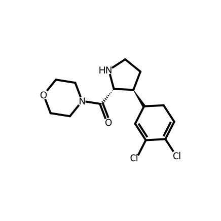 O=C([C@@H]1NCC[C@H]1C1C=C(Cl)C(Cl)=CC1)N1CCOCC1